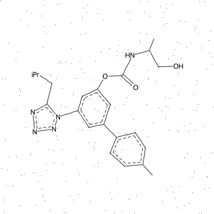 Cc1ccc(-c2cc(OC(=O)NC(C)CO)cc(-n3nnnc3CC(C)C)c2)cc1